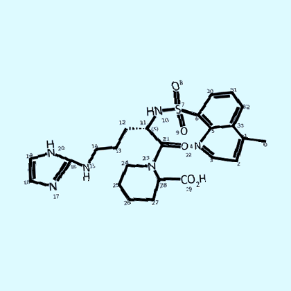 Cc1ccnc2c(S(=O)(=O)N[C@@H](CCCNc3ncc[nH]3)C(=O)N3CCCCC3C(=O)O)cccc12